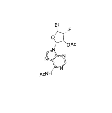 CC[C@H]1O[C@@H](n2cnc3c(NC(C)=O)ncnc32)C(OC(C)=O)[C@H]1F